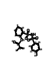 C=C(C)C(=O)Oc1ccccc1S(=O)(=O)NS(=O)(=O)c1ccc(C)cc1